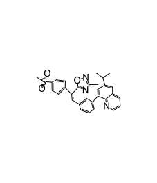 Cc1noc(C(=Cc2cccc(-c3cc(C(C)C)cc4cccnc34)c2)c2ccc(S(C)(=O)=O)cc2)n1